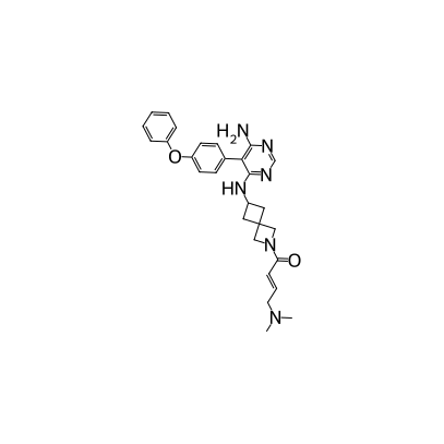 CN(C)CC=CC(=O)N1CC2(CC(Nc3ncnc(N)c3-c3ccc(Oc4ccccc4)cc3)C2)C1